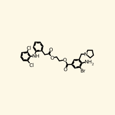 Nc1c(Br)cc(C(=O)OCCOC(=O)Cc2ccccc2Nc2c(Cl)cccc2Cl)cc1CN1CCCC1